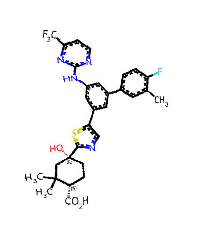 Cc1cc(-c2cc(Nc3nccc(C(F)(F)F)n3)cc(-c3cnc([C@@]4(O)CC[C@H](C(=O)O)C(C)(C)C4)s3)c2)ccc1F